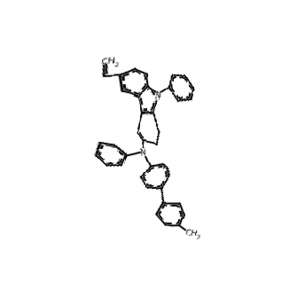 C=Cc1ccc2c(c1)c1c(n2-c2ccccc2)CCC(N(c2ccccc2)c2ccc(-c3ccc(C)cc3)cc2)=C1